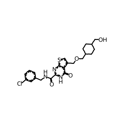 O=C(NCc1cccc(Cl)c1)c1nc2scc(COCC3CCC(CO)CC3)c2c(=O)[nH]1